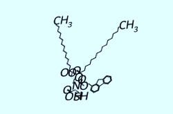 CCCCCCCCCCCCCCCC(=O)OC[C@@H](CN(C(=O)OCc1cccc2c1Cc1ccccc1-2)[C@@H](CS)C(=O)O)OC(=O)CCCCCCCCCCCCCCC